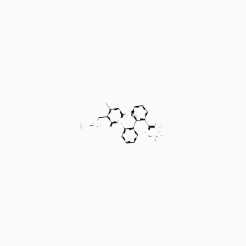 CCCCc1cc(C)c(CNC(C)C)c(=O)n1-c1ccccc1-c1ccccc1-c1nnn[nH]1